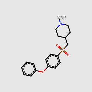 CCOC(=O)N1CCC(CS(=O)(=O)c2ccc(Oc3ccccc3)cc2)CC1